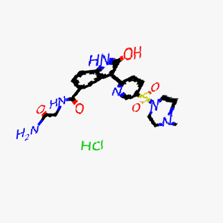 CN1CCN(S(=O)(=O)c2ccc(-c3c(O)[nH]c4ccc(C(=O)NCC(N)=O)cc34)nc2)CC1.Cl